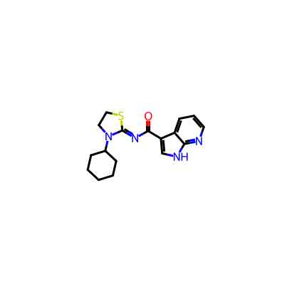 O=C(/N=C1\SCCN1C1CCCCC1)c1c[nH]c2ncccc12